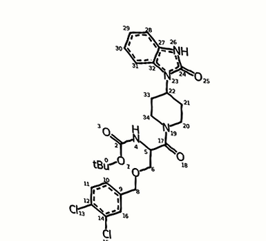 CC(C)(C)OC(=O)NC(COCc1ccc(Cl)c(Cl)c1)C(=O)N1CCC(n2c(=O)[nH]c3ccccc32)CC1